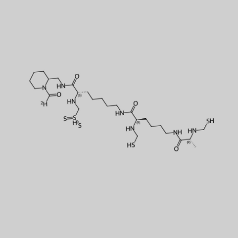 [2H]C(=O)N1CCCCC1CNC(=O)[C@H](CCCCCNC(=O)[C@@H](CCCCNC(=O)[C@@H](C)NCS)NCS)NC[SH](=S)=S